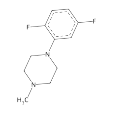 CN1CCN(c2cc(F)ccc2F)CC1